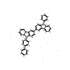 C1=CC2c3cc(-c4ccc5c(c4)c4ccccc4n5-c4ccccc4)ccc3N(c3ccc(-c4ccccc4)cc3)C2C=C1